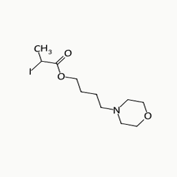 CC(I)C(=O)OCCCCN1CCOCC1